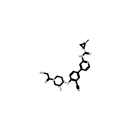 C[C@@H]1C[C@H]1C(=O)Nc1cc(-c2ccc(O[C@H]3CCN(C(=O)CO)C[C@H]3F)c(C#N)c2)ccn1